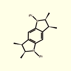 CC(C)N1c2cc3c(cc2[C@H](C)[C@@H]1C)N(C(C)C)[C@@H](C)[C@H]3C